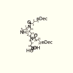 CCCCCCCCCCCCCC(=O)N(CCCN)CCCCN(CCCN(O)O)C(=O)CCCCCCCCCCCCC